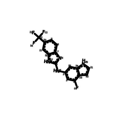 Fc1cc(Nc2nc3ccc(C(F)(F)F)cc3[nH]2)cc2[nH]ccc12